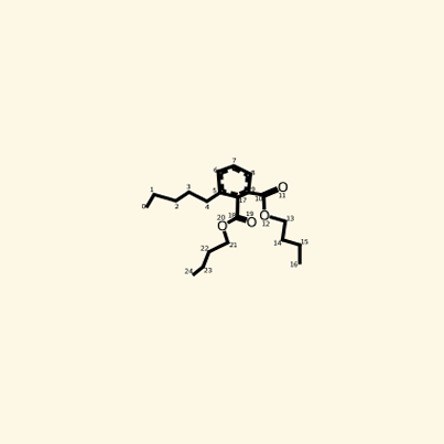 CCCCCc1cccc(C(=O)OCCCC)c1C(=O)OCCCC